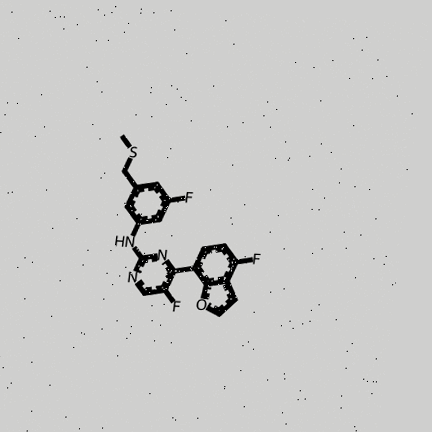 CSCc1cc(F)cc(Nc2ncc(F)c(-c3ccc(F)c4ccoc34)n2)c1